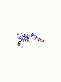 CCc1nc2sc(N3CC4(CCN(CC(=O)N5CC(O)C5)C4)C3)nn2c1N(C)c1nc(-c2ccc(C)cc2)c(C#N)s1